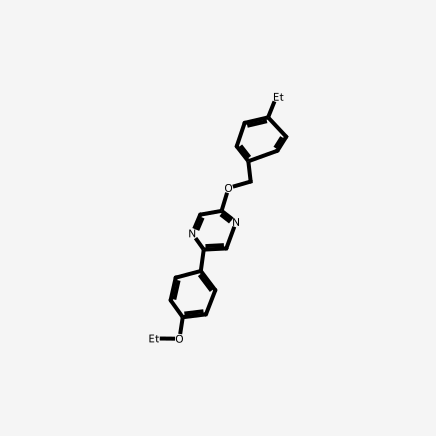 CCOc1ccc(-c2cnc(OCc3ccc(CC)cc3)cn2)cc1